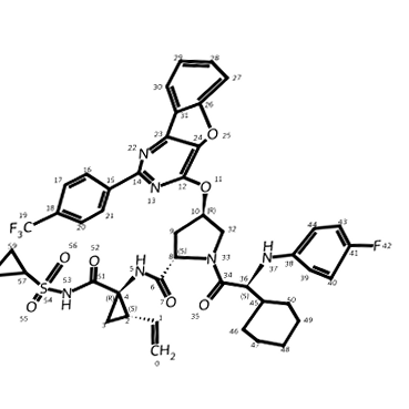 C=C[C@@H]1C[C@]1(NC(=O)[C@@H]1C[C@@H](Oc2nc(-c3ccc(C(F)(F)F)cc3)nc3c2oc2ccccc23)CN1C(=O)[C@@H](Nc1ccc(F)cc1)C1CCCCC1)C(=O)NS(=O)(=O)C1CC1